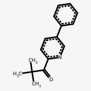 CC(C)(C)C(=O)c1ccc(-c2ccccc2)cn1